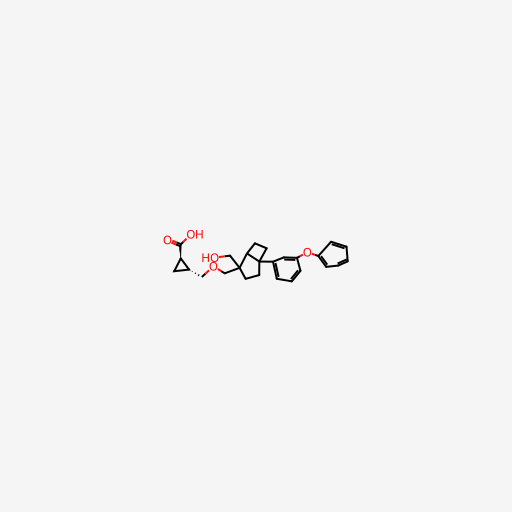 O=C(O)[C@@H]1C[C@H]1COCC1(CO)CCC2(c3cccc(Oc4ccccc4)c3)CCC12